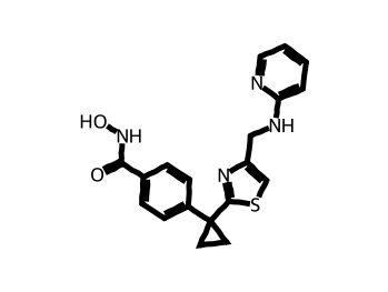 O=C(NO)c1ccc(C2(c3nc(CNc4ccccn4)cs3)CC2)cc1